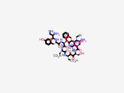 CC(C)C[C@H](NN)C(=O)C(=O)[C@@H](NC(=O)[C@H](CC(N)=O)NN[C@@H](CO)C(=O)N[C@@H](CO)C(=O)C(=O)[C@H](CC(=O)O)NC(=O)[C@H](CC(=O)O)NC(=O)[C@H](Cc1ccccc1)NC(=O)[C@H](Cc1ccc(O)cc1)NC(=O)C(N)CN)C(C)C